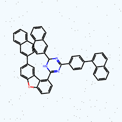 c1ccc2cc(-c3ccc4oc5cccc(C6=NC(c7ccc(-c8cccc9ccccc89)cc7)=NC(c7ccc8ccccc8c7)N6)c5c4c3)ccc2c1